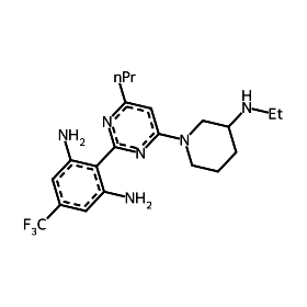 CCCc1cc(N2CCCC(NCC)C2)nc(-c2c(N)cc(C(F)(F)F)cc2N)n1